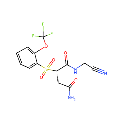 N#CCNC(=O)[C@H](CC(N)=O)S(=O)(=O)c1ccccc1OC(F)(F)F